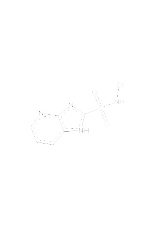 CCNS(=O)(=O)c1nc2ncccc2[nH]1